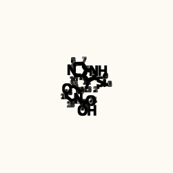 C[Si](C)(C)c1[nH]c2ccncc2c1C[C@H]1COCCN1C(=O)O